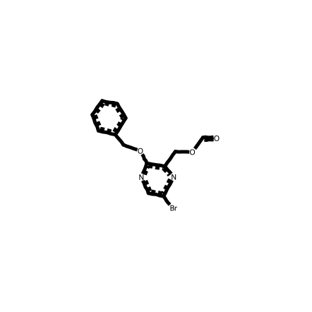 O=COCc1nc(Br)cnc1OCc1ccccc1